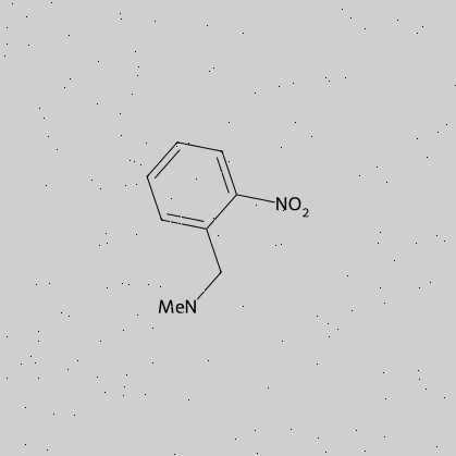 CNCc1ccccc1[N+](=O)[O-]